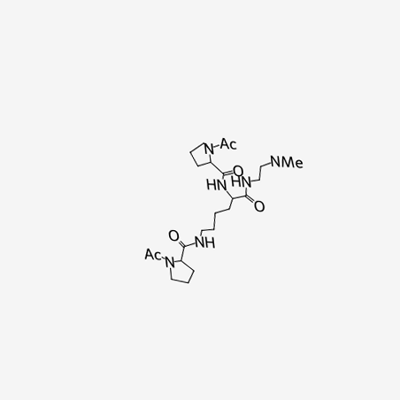 CNCCNC(=O)C(CCCCNC(=O)C1CCCN1C(C)=O)NC(=O)C1CCCN1C(C)=O